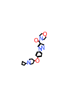 O=C(c1cnn(-c2ccc(OC3CCN(C4CCC4)CC3)cc2)c1)N1CCOCC1